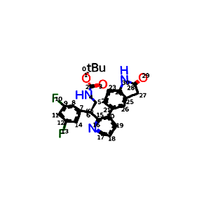 CC(C)(C)OC(=O)NC[C@H](c1cc(F)cc(F)c1)c1ncccc1-c1ccc2c(c1)CC(=O)N2